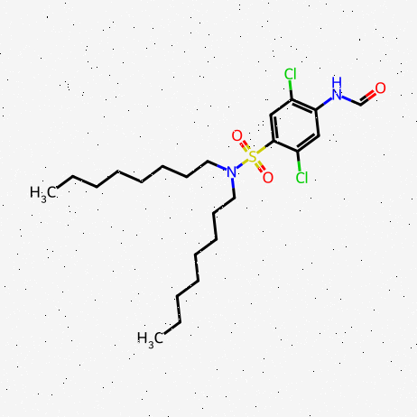 CCCCCCCCN(CCCCCCCC)S(=O)(=O)c1cc(Cl)c(NC=O)cc1Cl